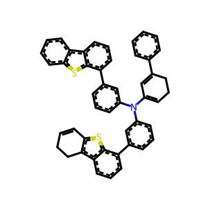 C1=Cc2sc3c(-c4cccc(N(C5=CCCC(c6ccccc6)=C5)c5cccc(-c6cccc7c6sc6ccccc67)c5)c4)cccc3c2CC1